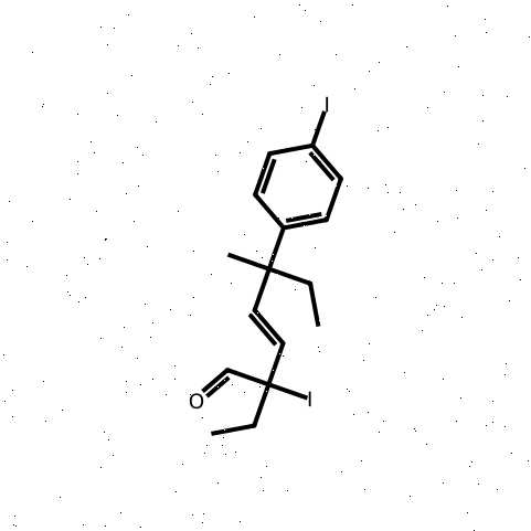 CCC(I)(C=O)/C=C/C(C)(CC)c1ccc(I)cc1